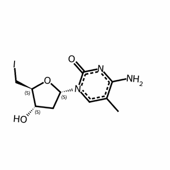 Cc1cn([C@@H]2C[C@H](O)[C@@H](CI)O2)c(=O)nc1N